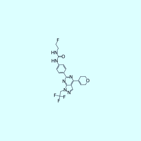 O=C(NCCF)Nc1ccc(-c2nc(C3=CCOCC3)c3cnn(CC(F)(F)F)c3n2)cc1